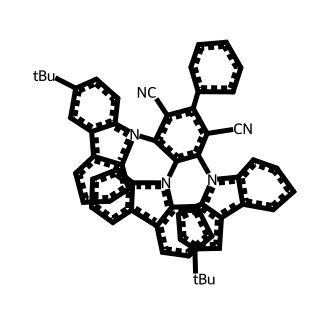 CC(C)(C)c1ccc2c(c1)c1ccccc1n2-c1c(C#N)c(-c2ccccc2)c(C#N)c(-n2c3ccccc3c3cc(C(C)(C)C)ccc32)c1-n1c2ccccc2c2ccccc21